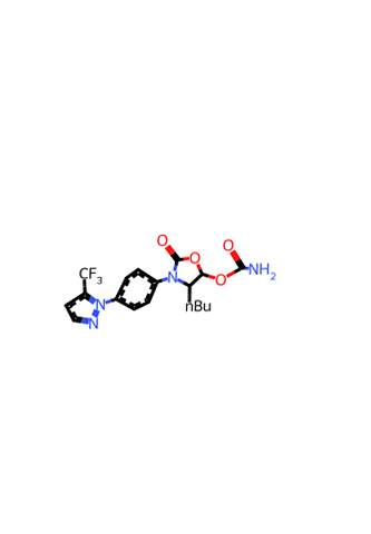 CCCCC1C(OC(N)=O)OC(=O)N1c1ccc(-n2nccc2C(F)(F)F)cc1